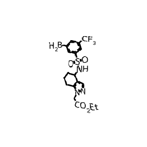 Bc1cc(C(F)(F)F)cc(S(=O)(=O)NC2CCCc3c2cnn3CC(=O)OCC)c1